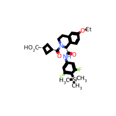 CCOc1ccc2c(c1)CCN(C(=O)[C@H]1C[C@@H](C(=O)O)C1)[C@H]2C(=O)Nc1cc(F)c([Si](C)(C)C)c(F)c1